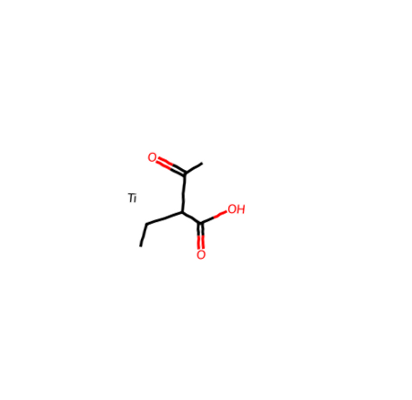 CCC(C(C)=O)C(=O)O.[Ti]